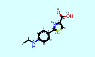 CCNc1ccc(-c2nc(C(=O)O)cs2)cc1